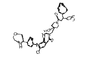 O=C(CC(c1ccccc1)C(F)(F)F)N1CCC(O)(Cn2cnc3c(cc(Cl)n3-c3ccc(C4COCCN4)cc3)c2=O)CC1